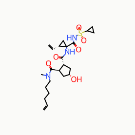 C=CCCCCN(C)C(=O)[C@@H]1C[C@@H](O)C[C@H]1C(=O)N[C@]1(C(=O)NS(=O)(=O)C2CC2)C[C@H]1C=C